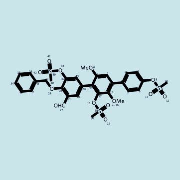 COc1cc(-c2ccc(OS(C)(=O)=O)cc2)c(OC)c(OS(C)(=O)=O)c1-c1cc(C=O)c(OCc2ccccc2)c(OS(C)(=O)=O)c1